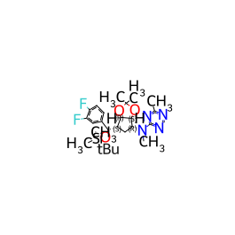 Cc1ncnc(N(C)[C@@H]2C[C@H](C(O[Si](C)(C)C(C)(C)C)c3ccc(F)c(F)c3)[C@H]3OC(C)(C)O[C@H]32)n1